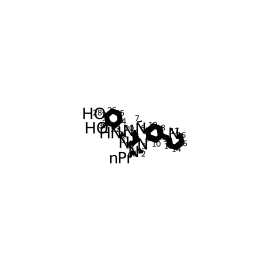 CCCn1cnc2c(N(C)c3ccc(-c4ccccn4)cc3)nc(N[C@@H]3CCC[C@H](O)[C@@H]3O)nc21